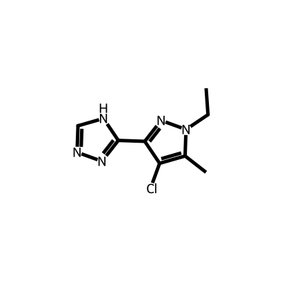 CCn1nc(-c2nnc[nH]2)c(Cl)c1C